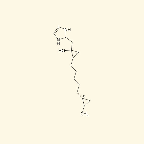 CC1C[C@H]1CCCCCC1=CC1(O)CC1NC=CN1